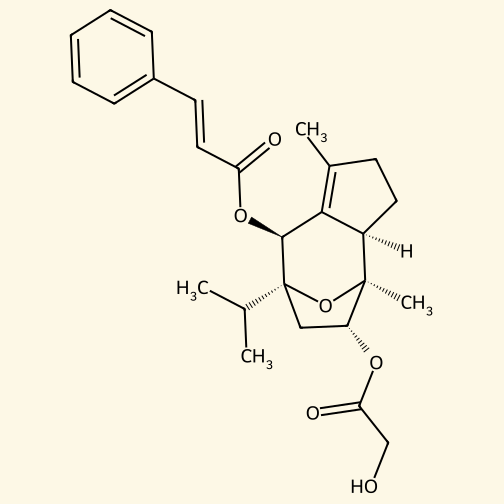 CC1=C2[C@@H](CC1)[C@]1(C)O[C@@](C(C)C)(C[C@H]1OC(=O)CO)[C@H]2OC(=O)/C=C/c1ccccc1